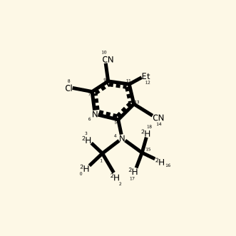 [2H]C([2H])([2H])N(c1nc(Cl)c(C#N)c(CC)c1C#N)C([2H])([2H])[2H]